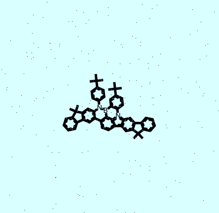 CC(C)(C)c1ccc(N2B3c4cc(C(C)(C)C)ccc4-n4c5cc6c(cc5c5ccc(c3c54)-c3cc4c(cc32)C(C)(C)c2ccccc2-4)C(C)(C)c2ccccc2-6)cc1